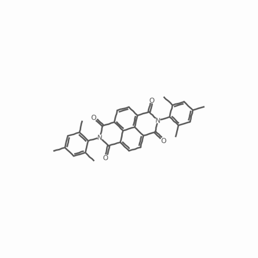 Cc1cc(C)c(N2C(=O)c3ccc4c5c(ccc(c35)C2=O)C(=O)N(c2c(C)cc(C)cc2C)C4=O)c(C)c1